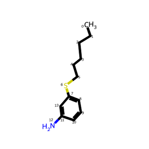 CCCCCCSc1cccc(N)c1